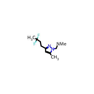 CNCn1nc(CCC(C)(F)F)cc1C